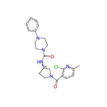 Cc1ccc(C(=O)N2CC[C@@H](NC(=O)N3CCN(c4ccccc4)CC3)C2)c(Cl)n1